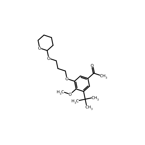 COc1c(OCCCOC2CCCCO2)cc(C(C)=O)cc1C(C)(C)C